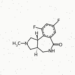 CN1C[C@@H]2CNC(=O)c3cc(F)cc(F)c3[C@H]2C1